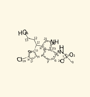 CS(=O)(=O)Nc1cccc2c(C(CCO)c3ccc(Cl)s3)c[nH]c12